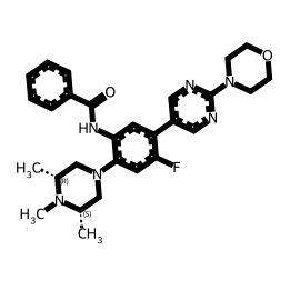 C[C@@H]1CN(c2cc(F)c(-c3cnc(N4CCOCC4)nc3)cc2NC(=O)c2ccccc2)C[C@H](C)N1C